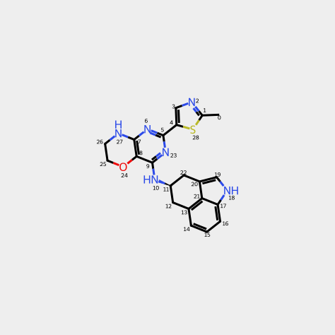 Cc1ncc(-c2nc3c(c(N[C@@H]4Cc5cccc6[nH]cc(c56)C4)n2)OCCN3)s1